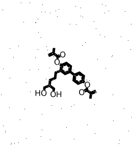 C=C(C)C(=O)Oc1ccc(-c2ccc(OC(=O)C(=C)C)c(CCCC(CO)CO)c2)cc1